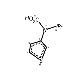 CC(C)N(C(=O)O)c1ccsc1